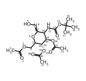 CC(=O)OCC1OC(=NO)C(NC(=O)OC(C)(C)C)[C@@H](OC(C)=O)[C@@H]1OC(C)=O